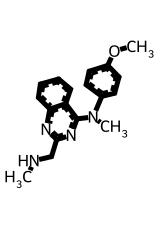 CNCc1nc(N(C)c2ccc(OC)cc2)c2ccccc2n1